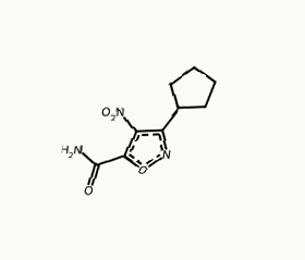 NC(=O)c1onc(C2CCCC2)c1[N+](=O)[O-]